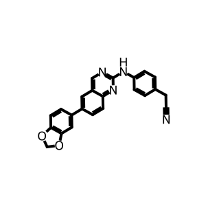 N#CCc1ccc(Nc2ncc3cc(-c4ccc5c(c4)OCO5)ccc3n2)cc1